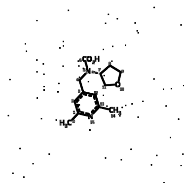 Cc1cc(CN(C(=O)O)[C@@H]2CCOC2)cc(C)n1